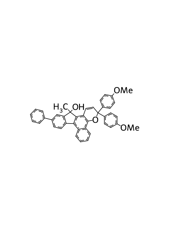 COc1ccc(C2(c3ccc(OC)cc3)C=Cc3c4c(c5ccccc5c3O2)-c2ccc(-c3ccccc3)cc2C4(C)O)cc1